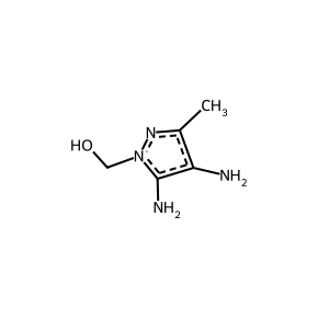 Cc1nn(CO)c(N)c1N